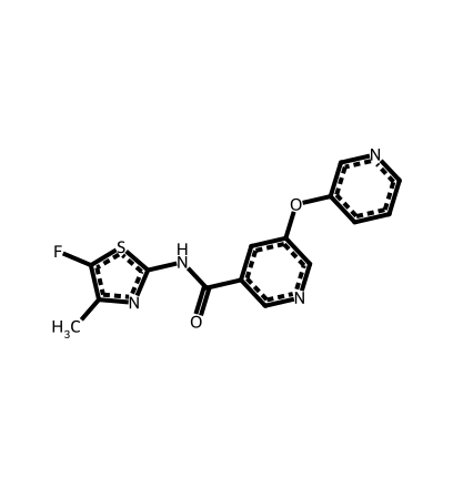 Cc1nc(NC(=O)c2cncc(Oc3cccnc3)c2)sc1F